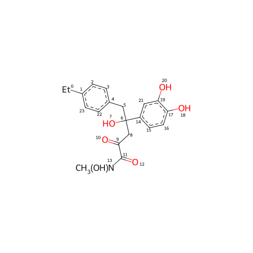 CCc1ccc(CC(O)(CC(=O)C(=O)N(C)O)c2ccc(O)c(O)c2)cc1